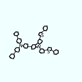 c1ccc(-c2ccc(N(c3ccc(-c4ccccc4)cc3)c3ccc(-c4ccc5c(c4)c4cc(-c6ccc(-c7ccccc7)s6)ccc4n5-c4cccc(-c5ccc(-c6ccccc6)s5)c4)cc3)cc2)cc1